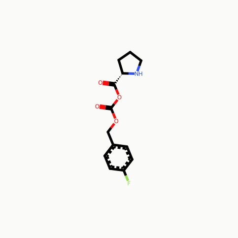 O=C(OCc1ccc(F)cc1)OC(=O)[C@@H]1CCCN1